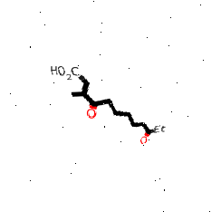 CCC(=O)CCCCCC(=O)C(C)CC(=O)O